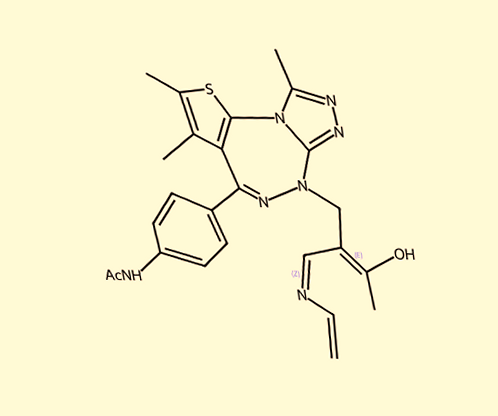 C=C/N=C\C(CN1N=C(c2ccc(NC(C)=O)cc2)c2c(sc(C)c2C)-n2c(C)nnc21)=C(/C)O